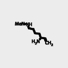 C=CC(N)CCCCNNC